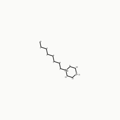 CCCCCCCCN1CCSCC1